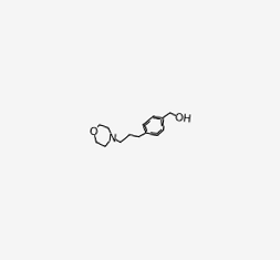 OCc1ccc(CCCN2CCOCC2)cc1